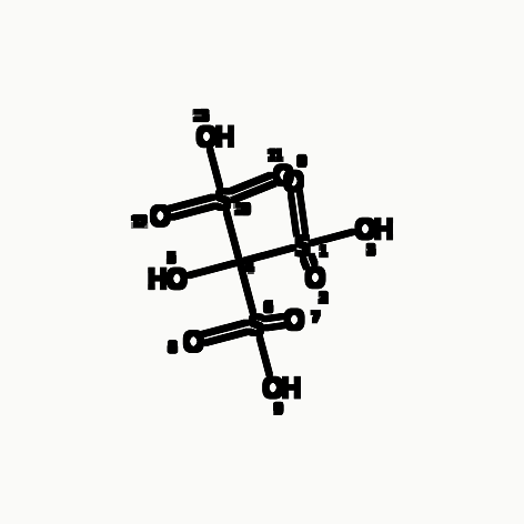 O=S(=O)(O)C(O)(S(=O)(=O)O)S(=O)(=O)O